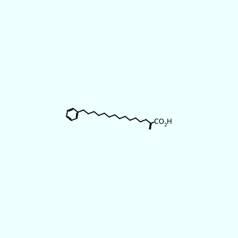 C=C(CCCCCCCCCCCCCc1ccccc1)C(=O)O